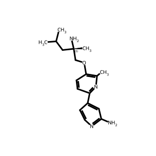 Cc1nc(-c2ccnc(N)c2)ccc1OC[C@@](C)(N)CC(C)C